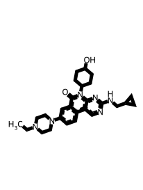 CCN1CCN(c2ccc3c(c2)c(=O)n(C2CCC(O)CC2)c2nc(NCC4CC4)ncc32)CC1